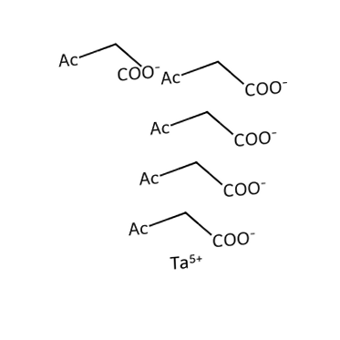 CC(=O)CC(=O)[O-].CC(=O)CC(=O)[O-].CC(=O)CC(=O)[O-].CC(=O)CC(=O)[O-].CC(=O)CC(=O)[O-].[Ta+5]